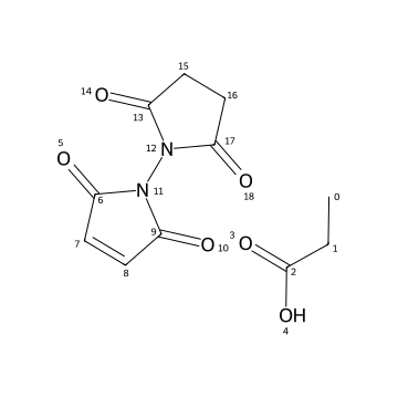 CCC(=O)O.O=C1C=CC(=O)N1N1C(=O)CCC1=O